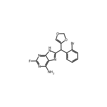 Nc1nc(F)nc2[nH]c(C(C3=COCO3)c3ccccc3Br)nc12